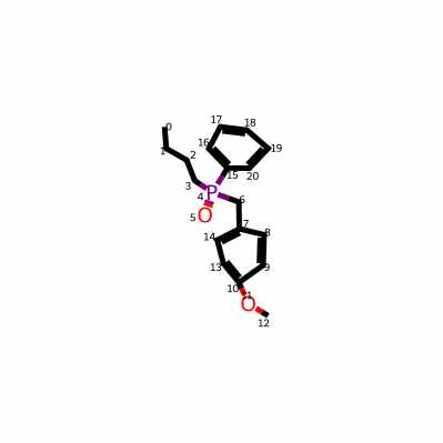 CCCCP(=O)(Cc1ccc(OC)cc1)c1ccccc1